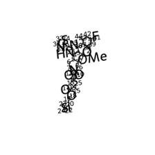 COC(=O)C1=C(C2CCN(S(=O)(=O)C3CC(C)(C(=O)OCC[Si](C)(C)C)C3)CC2)NC(c2nccs2)=NC1c1ccc(F)cc1C